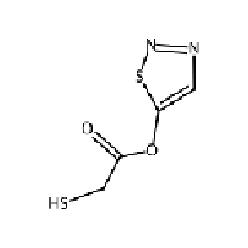 O=C(CS)Oc1cnns1